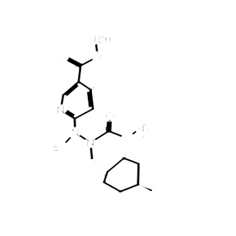 CCN(c1ccc(C(=O)OC(C)(C)C)cn1)N(C[C@H]1CC[C@H](C(F)(F)F)CC1)C(=O)OC(C)(C)C